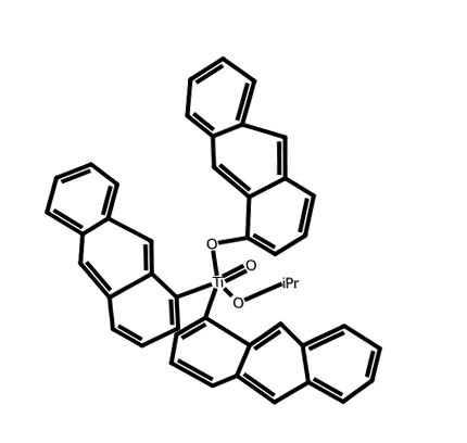 CC(C)[O][Ti](=[O])([O]c1cccc2cc3ccccc3cc12)([c]1cccc2cc3ccccc3cc12)[c]1cccc2cc3ccccc3cc12